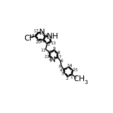 Cc1ccc(CCc2ccc(Cc3c[nH]c4ncc(Cl)cc34)cn2)cc1